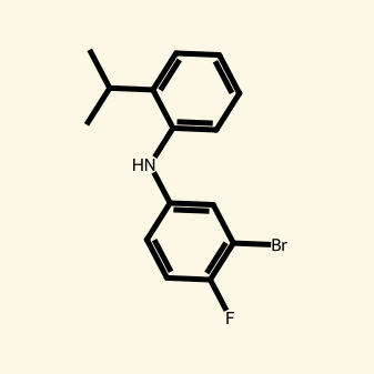 CC(C)c1ccccc1Nc1ccc(F)c(Br)c1